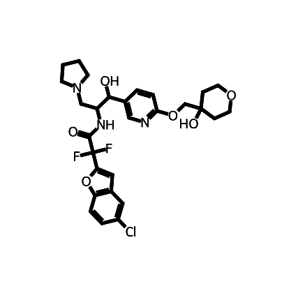 O=C(NC(CN1CCCC1)C(O)c1ccc(OCC2(O)CCOCC2)nc1)C(F)(F)c1cc2cc(Cl)ccc2o1